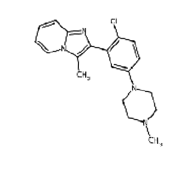 Cc1c(-c2cc(N3CCN(C)CC3)ccc2Cl)nc2ccccn12